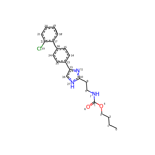 CCCCOC(=O)NCCc1nc(-c2ccc(-c3ccccc3Cl)cc2)c[nH]1